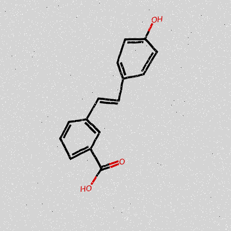 O=C(O)c1cccc(/C=C/c2ccc(O)cc2)c1